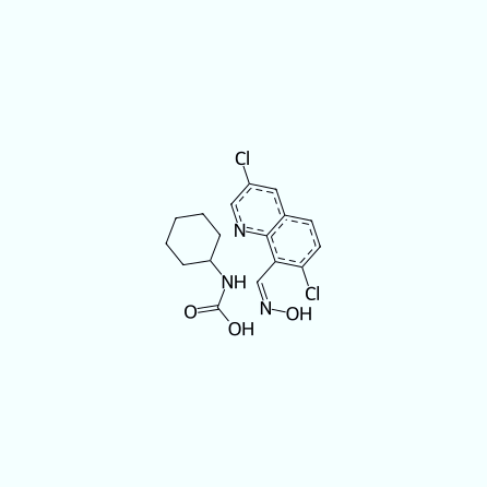 O/N=C\c1c(Cl)ccc2cc(Cl)cnc12.O=C(O)NC1CCCCC1